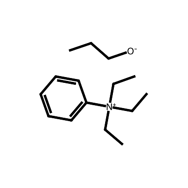 CCC[O-].CC[N+](CC)(CC)c1ccccc1